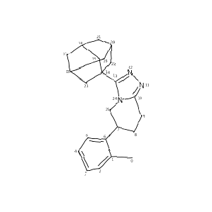 Cc1ccccc1C1CCc2nnc(C34CC5CC(CC(C5)C3)C4)n2C1